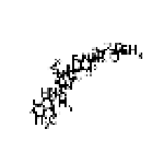 C/C=C(/C)c1ccccc1CCNC(=O)c1cc(C2CC2)n2nc(-c3ccc(N4CC(CC(=O)OC)C4)nc3F)cc2n1